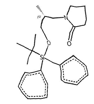 C[C@@H](CO[Si](c1ccccc1)(c1ccccc1)C(C)(C)C)N1CCCC1=O